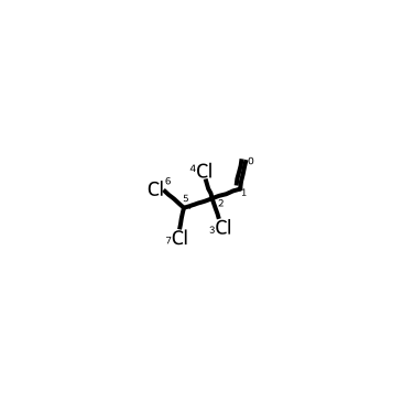 C=CC(Cl)(Cl)[C](Cl)Cl